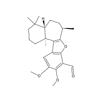 COc1cc2c3c(oc2c(C=O)c1OC)[C@H](C)CC[C@H]1C(C)(C)CCC[C@]31C